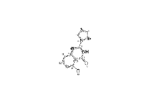 O=c1[nH]c(-n2cccn2)nc2cccc(Cl)c12